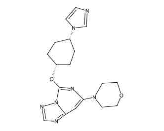 c1cn([C@H]2CC[C@@H](Oc3nc(N4CCOCC4)cc4ncnn34)CC2)cn1